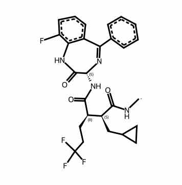 [CH2]NC(=O)[C@@H](CC1CC1)[C@@H](CCC(F)(F)F)C(=O)N[C@H]1N=C(c2ccccc2)c2cccc(F)c2NC1=O